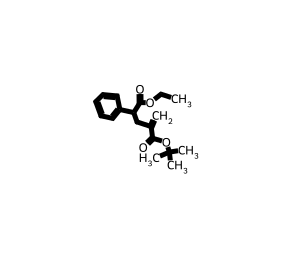 C=C(CC(C(=O)OCC)c1ccccc1)C(=O)OC(C)(C)C